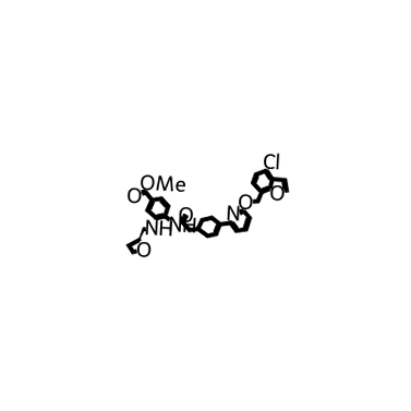 COC(=O)c1ccc(NC(=O)CC2CC=C(c3cccc(OCc4ccc(Cl)c5ccoc45)n3)CC2)c(NC[C@@H]2CCO2)c1